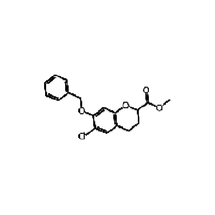 COC(=O)C1CCc2cc(Cl)c(OCc3ccccc3)cc2O1